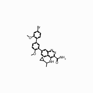 COc1cc(Br)ccc1-c1ccc(OC)c(-c2ccc3c(NC(C)C4CC4)c(C(N)=O)nnc3c2)c1